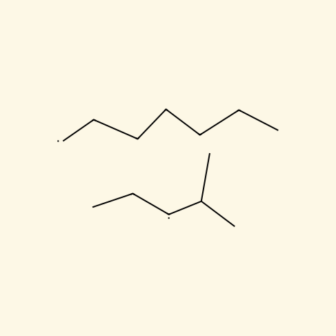 CC[CH]C(C)C.[CH2]CCCCCC